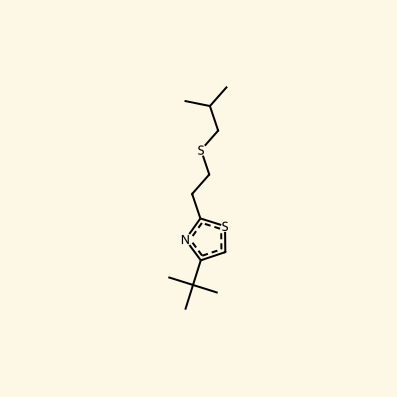 CC(C)CSCCc1nc(C(C)(C)C)cs1